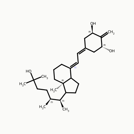 C=C1[C@H](O)CC(=C/C=C2\CCC[C@@]3(C)C2CCC3[C@@H](C)[C@@H](C)CCC(C)(C)O)C[C@H]1O